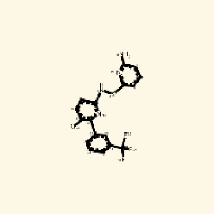 Nc1cccc(SNc2ccc(Cl)c(-c3cccc(C(F)(F)F)c3)n2)n1